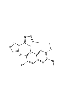 COc1nc2cc(Cl)c(Cl)c(-n3c(C)nnc3-n3ccnc3)c2nc1OC